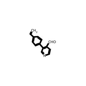 C=Cc1ccc(-c2cnccc2C=O)cc1